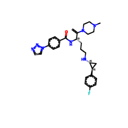 C=C([C@H](CCCN[C@@H]1C[C@H]1c1ccc(F)cc1)NC(=O)c1ccc(-n2ccnn2)cc1)N1CCN(C)CC1